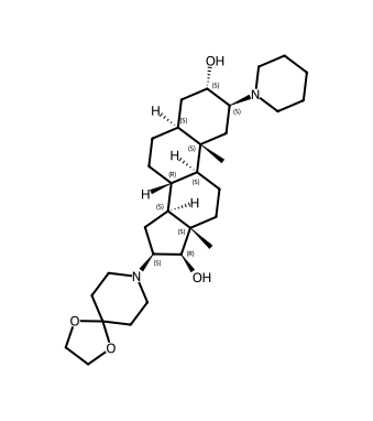 C[C@]12C[C@H](N3CCCCC3)[C@@H](O)C[C@@H]1CC[C@@H]1[C@@H]2CC[C@]2(C)[C@@H](O)[C@@H](N3CCC4(CC3)OCCO4)C[C@@H]12